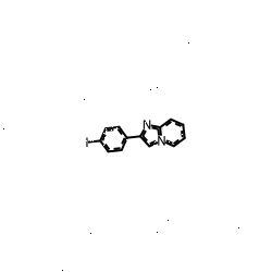 Ic1ccc(-c2cn3ccccc3n2)cc1